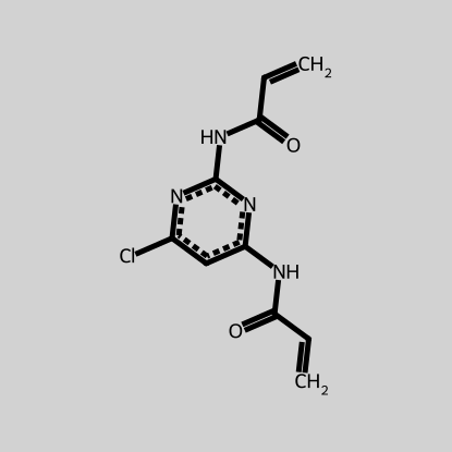 C=CC(=O)Nc1cc(Cl)nc(NC(=O)C=C)n1